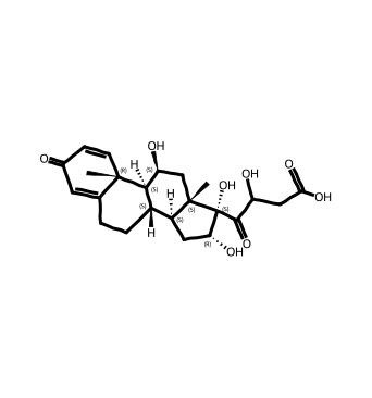 C[C@]12C=CC(=O)C=C1CC[C@@H]1[C@@H]2[C@@H](O)C[C@@]2(C)[C@H]1C[C@@H](O)[C@]2(O)C(=O)C(O)CC(=O)O